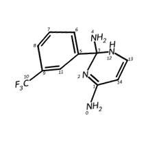 NC1=NC(N)(c2cccc(C(F)(F)F)c2)NC=C1